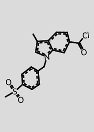 Cc1cn(Cc2ccc(S(C)(=O)=O)cc2)c2cc(C(=O)Cl)ccc12